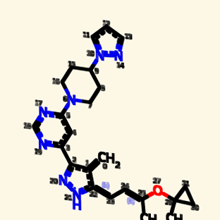 C=c1c(-c2cc(N3CCC(n4cccn4)CC3)ncn2)n[nH]/c1=C/C=C(\C)OC1(C)CC1